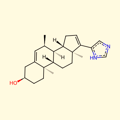 C[C@@H]1C=C2C[C@H](O)CC[C@]2(C)[C@H]2CC[C@]3(C)C(c4cnc[nH]4)=CC[C@H]3[C@H]12